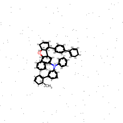 C[C@H]1CC=CC=C1c1cccc(N(c2ccccc2)c2cc3c(c4ccccc24)OC2CC=CC(c4ccc(C5=CCCC=C5)cc4)=C32)c1